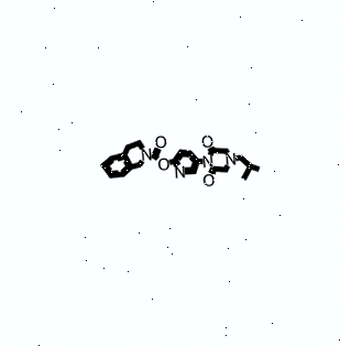 CC(C)CN1CC(=O)N(c2ccc(OC(=O)N3CCc4ccccc4C3)nc2)C(=O)C1